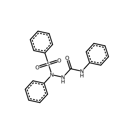 O=C(Nc1ccccc1)NN(c1ccccc1)S(=O)(=O)c1ccccc1